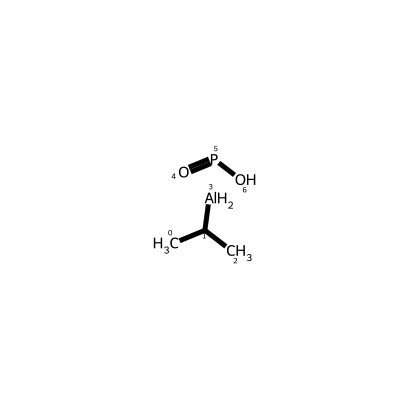 C[CH](C)[AlH2].O=PO